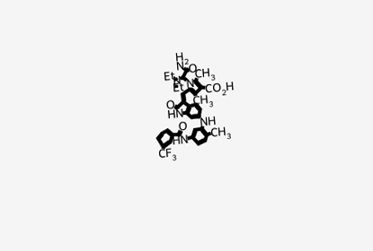 CCN(CC)C(C(N)=O)n1c(C)c(C(=O)O)c(C)c1C=C1C(=O)Nc2cc(Nc3cc(NC(=O)c4cccc(C(F)(F)F)c4)ccc3C)ccc21